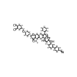 CN1C[C@H](c2ccc(OCc3ccc(Cl)c(Cl)c3)cc2)Oc2cc3c(cc21)CC(C(=O)N[C@@H](Cc1ccc(-c2ccc(C#N)cc2)cc1)C(=O)O)N(C(=O)c1ccccc1)C3